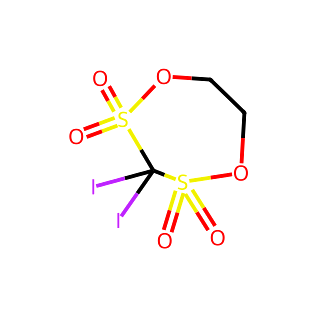 O=S1(=O)OCCOS(=O)(=O)C1(I)I